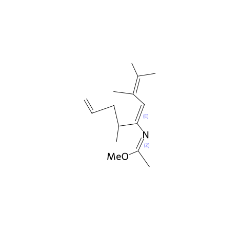 C=CCC(C)C(=C\C(C)=C(C)C)/N=C(/C)OC